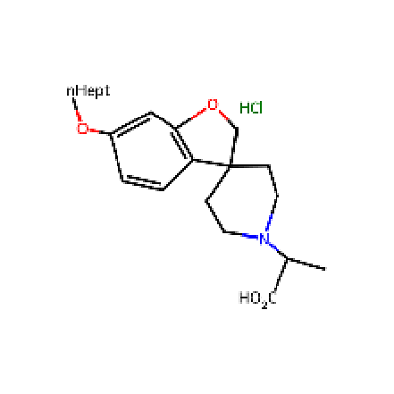 CCCCCCCOc1ccc2c(c1)OCC21CCN(C(C)C(=O)O)CC1.Cl